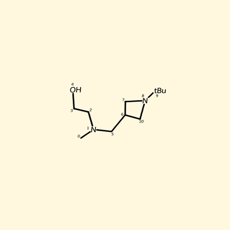 CN(CCO)CC1CN(C(C)(C)C)C1